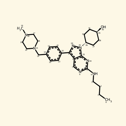 CCCCNc1ncc2c(-c3ccc(CN4CCN(C)CC4)cc3)nn([C@H]3CC[C@H](O)CC3)c2n1